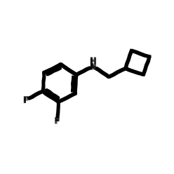 Fc1ccc(NCC2CCC2)cc1F